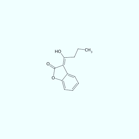 CCC/C(O)=C1/C(=O)Oc2ccccc21